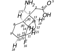 NC[C@@]1(CC(=O)O)[C@@H]2CC[C@@H]3CC[C@H]1[C@H]2[C@H]3F